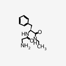 CCNC(=O)[C@H](Cc1ccccc1)NC(=O)CN